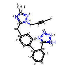 CC#CCn1nc(CCCC)nc1Cc1ccc(-c2ccccc2-c2nnn[nH]2)cc1